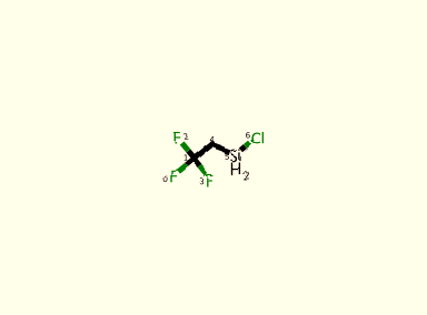 FC(F)(F)C[SiH2]Cl